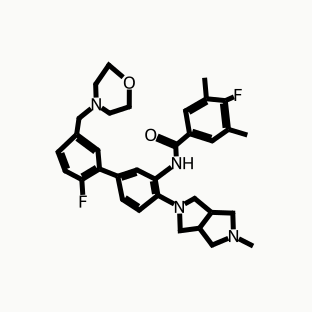 Cc1cc(C(=O)Nc2cc(-c3cc(CN4CCOCC4)ccc3F)ccc2N2CC3CN(C)CC3C2)cc(C)c1F